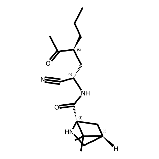 CCC[C@@H](C[C@@H](C#N)NC(=O)[C@@]12C[C@H](CN1)C2(C)C)C(C)=O